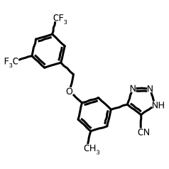 Cc1cc(OCc2cc(C(F)(F)F)cc(C(F)(F)F)c2)cc(-c2nn[nH]c2C#N)c1